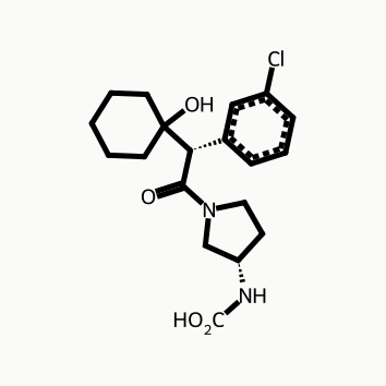 O=C(O)N[C@H]1CCN(C(=O)[C@@H](c2cccc(Cl)c2)C2(O)CCCCC2)C1